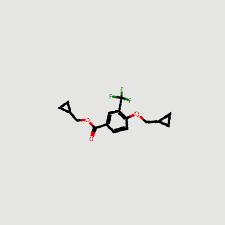 O=C(OCC1CC1)c1ccc(OCC2CC2)c(C(F)(F)F)c1